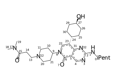 CCCC(C)Nc1ncc2c(=O)n(C3CCN(CCC(=O)N(C)C)CC3)cc([C@H]3CC[C@H](O)CC3)c2n1